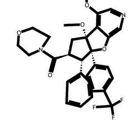 COc1cncc2c1[C@]1(OC)C[C@H](C(=O)N3CCOCC3)[C@@H](c3ccccc3)[C@]1(c1ccc(C(F)(F)F)cc1)O2